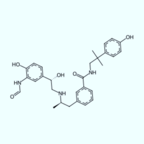 C[C@H](Cc1cccc(C(=O)NCC(C)(C)c2ccc(O)cc2)c1)NC[C@@H](O)c1ccc(O)c(NC=O)c1